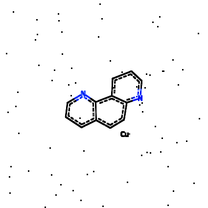 [Cu].c1cnc2c(c1)ccc1ncccc12